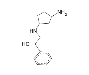 NC1CCC(NCC(O)c2ccccc2)C1